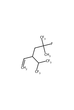 C=CC(CC(C)(F)C(F)(F)F)C(C(F)(F)F)C(F)(F)F